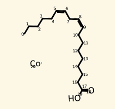 CCCCC/C=C\C/C=C\CCCCCCCC(=O)O.[Co]